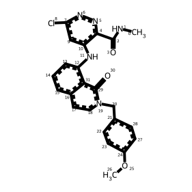 CNC(=O)c1nnc(Cl)cc1Nc1cccc2ccn(Cc3ccc(OC)cc3)c(=O)c12